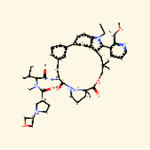 CCn1c(-c2cccnc2[C@H](C)OC)c2c3cc(ccc31)-c1cccc(c1)C[C@H](NC(=O)C(C(C)C)N(C)C(=O)[C@H]1CCN(C3COC3)C1)C(=O)N1CCC[C@H](N1)C(=O)OCC(C)(C)C2